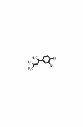 C=C(/C=C(\C)C(F)(F)F)c1ccc(CC)c(CC)c1